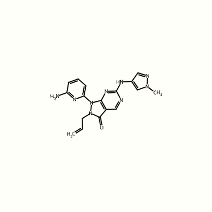 C=CCn1c(=O)c2cnc(Nc3cnn(C)c3)nc2n1-c1cccc(N)n1